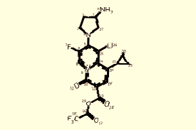 NC1CCN(c2c(F)cn3c(=O)c(C(=O)OC(=O)C(F)(F)F)cc(C4CC4)c3c2Cl)C1